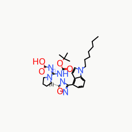 CCCCCCCn1ccc2c(-c3noc([C@@H]4CCCN4/C(=N\C(=O)O)NC(=O)OC(C)(C)C)n3)cccc21